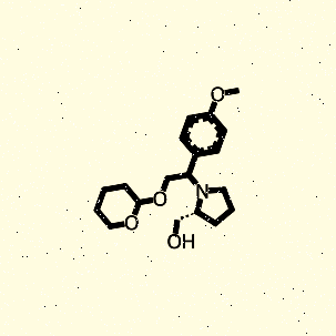 COc1ccc(C(COC2CCCCO2)N2CCC[C@@H]2CO)cc1